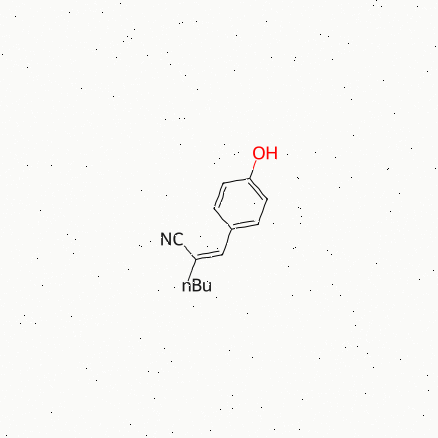 CCCCC(C#N)=Cc1ccc(O)cc1